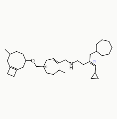 CC1CCC(OC[C@H]2CC=C(CNCC/C(=C\C3CC3)CC3CCCCCC3)C(C)CC2)CC2=C(CC2)C1